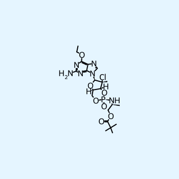 CCOc1nc(N)nc2c1ncn2[C@@H]1O[C@@H]2CO[P@](=O)(N[C@@H](C)COC(=O)C(C)(C)C)O[C@H]2[C@@]1(C)Cl